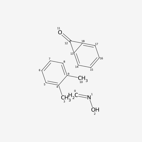 C=NO.Cc1ccccc1C.O=c1c2ccccc12